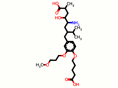 COCCCOc1cc(CC(CC(N)C(O)CC(C)C(=O)O)C(C)C)ccc1OCCCCC(=O)O